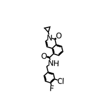 O=C(NCc1ccc(F)c(Cl)c1)c1cccc2c(=O)n(C3CC3)ccc12